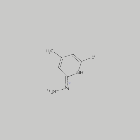 Cc1cc(Cl)[nH]/c(=N/N)c1